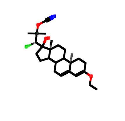 CCOC1=CC2=CCC3C(CC[C@@]4(C)C3CC[C@]4(O)[C@H](Cl)[Si](C)(C)OC#N)[C@@]2(C)CC1